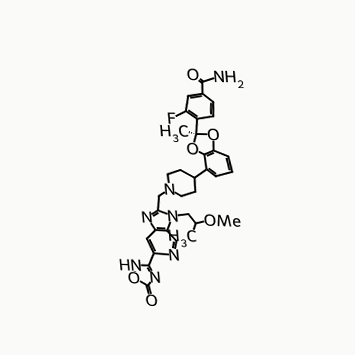 COC(C)Cn1c(CN2CCC(c3cccc4c3O[C@@](C)(c3ccc(C(N)=O)cc3F)O4)CC2)nc2cc(-c3nc(=O)o[nH]3)ncc21